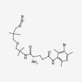 Cc1cc(C)c(NC(=O)CC[C@H](N)C(=O)NC(C)(C)COCC(C)(C)CN=[N+]=[N-])c(C)c1Br